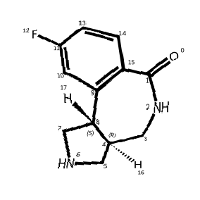 O=C1NC[C@H]2CNC[C@@H]2c2cc(F)ccc21